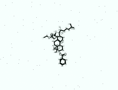 CCOC(=O)C[C@]12C3=C(CC[C@]1(C)[C@@H]([C@H](C)CCCC(C)C)CC2O)[C@@]1(C)CC[C@H](OC(=O)c2ccccc2)C(C)(C)[C@@H]1CC3